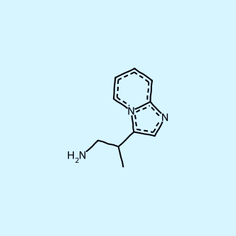 CC(CN)c1cnc2ccccn12